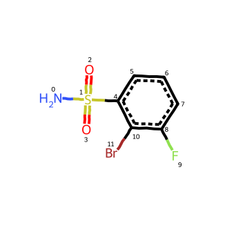 NS(=O)(=O)c1cccc(F)c1Br